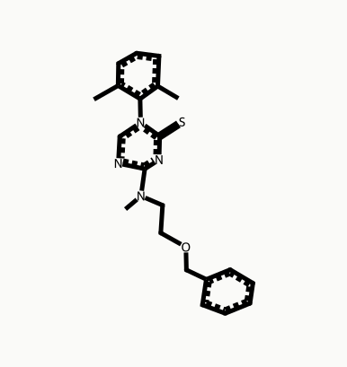 Cc1cccc(C)c1-n1cnc(N(C)CCOCc2ccccc2)nc1=S